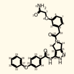 NC(=O)COc1cccc(CC(=O)N2Cc3n[nH]c(NC(=O)c4ccc(Oc5ccccc5)cc4)c3C2)c1